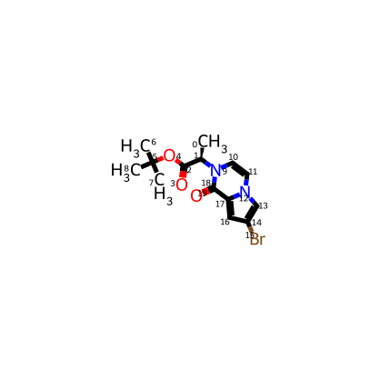 C[C@H](C(=O)OC(C)(C)C)n1ccn2cc(Br)cc2c1=O